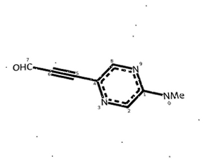 CNc1cnc(C#CC=O)cn1